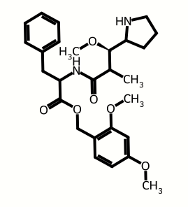 COc1ccc(COC(=O)C(Cc2ccccc2)NC(=O)C(C)[C@@H](OC)C2CCCN2)c(OC)c1